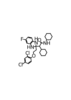 O=C(NC1CCCCC1)C(C1CCCCC1)C1(CCOc2ccc(Cl)cc2Cl)Nc2ccc(F)cc2N1